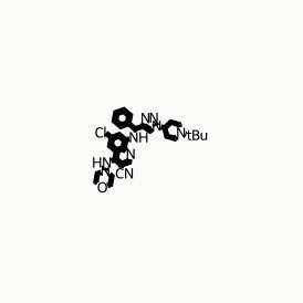 CC(C)(C)N1CCC(n2cc([C@@H](Nc3cc(Cl)cc4c(NN5CCOCC5)c(C#N)cnc34)c3ccccc3)nn2)CC1